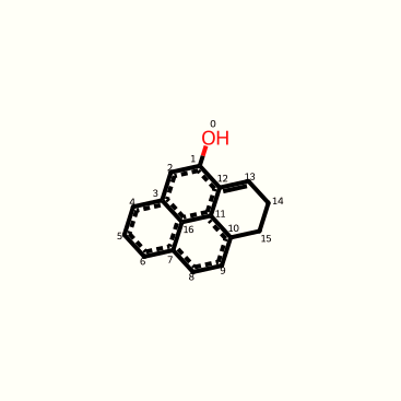 Oc1cc2cccc3ccc4c(c1=CCC4)c32